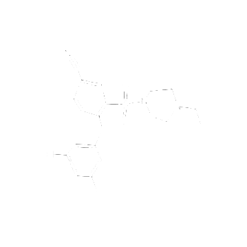 CCN1CCN(S(=O)(=O)c2cc(C#N)ccc2Oc2cc(Cl)cc(Cl)c2)CC1